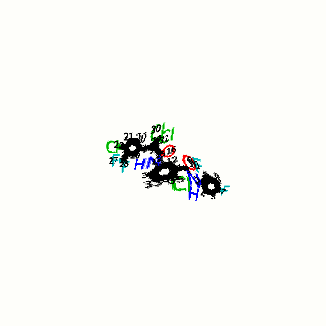 O=C(Nc1ccc(F)cc1F)c1cc(NC(=O)C2C(c3ccc(Cl)c(C(F)F)c3)C2(Cl)Cl)ccc1Cl